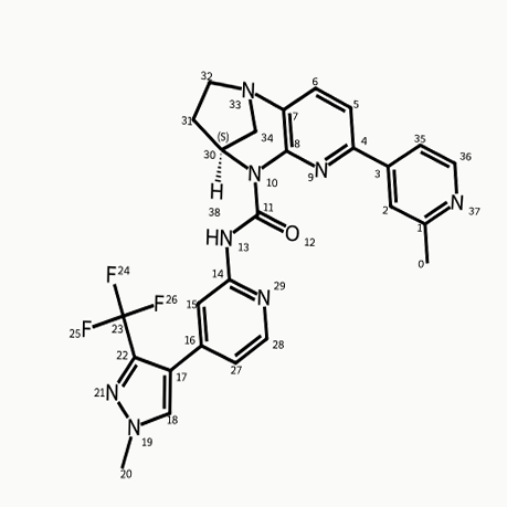 Cc1cc(-c2ccc3c(n2)N(C(=O)Nc2cc(-c4cn(C)nc4C(F)(F)F)ccn2)[C@H]2CCN3C2)ccn1